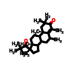 BC1=C2C(B)CC3C(CC[C@@]4(C)C3CC[C@]4(B)C(=O)C(B)(B)B)[C@@]2(C)CC(B)(B)C1=O